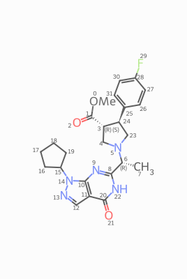 COC(=O)[C@H]1CN([C@H](C)c2nc3c(cnn3C3CCCC3)c(=O)[nH]2)C[C@@H]1c1ccc(F)cc1